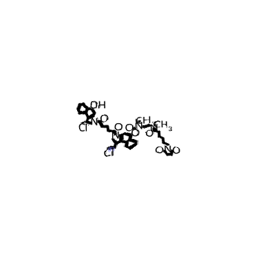 CN(CCN(C)C(=O)Oc1cc2c(c3ccccc13)C(/C=C/Cl)CN2C(=O)CCCC(=O)N1C[C@@H](CCl)c2c1cc(O)c1ccccc21)C(=O)CCCCCN1C(=O)C=CC1=O